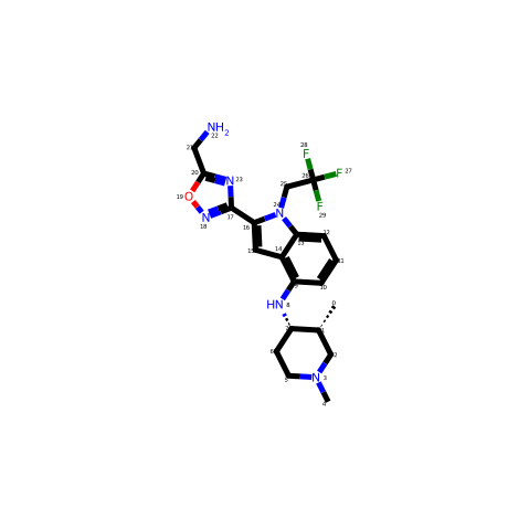 C[C@@H]1CN(C)CC[C@@H]1Nc1cccc2c1cc(-c1noc(CN)n1)n2CC(F)(F)F